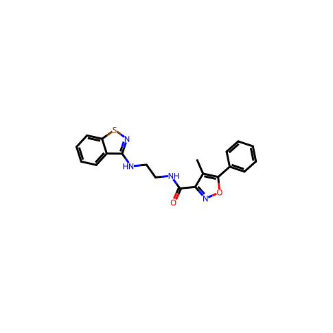 Cc1c(C(=O)NCCNc2nsc3ccccc23)noc1-c1ccccc1